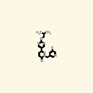 CC(C)COc1ncc(-c2ccc(=O)n(Cc3cncc(F)c3)n2)cn1